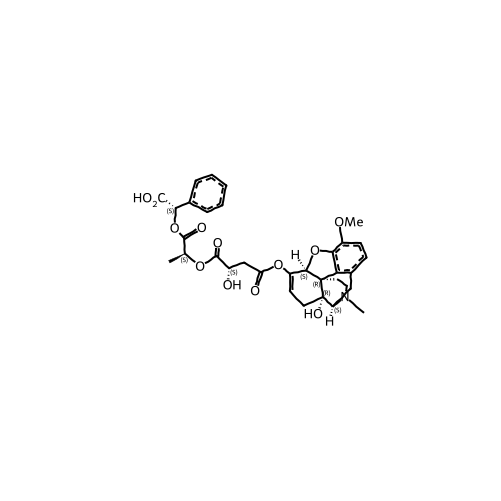 COc1ccc2c3c1O[C@@H]1C(OC(=O)C[C@H](O)C(=O)O[C@@H](C)C(=O)O[C@H](C(=O)O)c4ccccc4)=CC[C@]4(O)[C@H](C2)N(C)CC[C@@]314